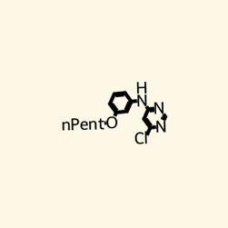 CCCCCOc1cccc(Nc2cc(Cl)ncn2)c1